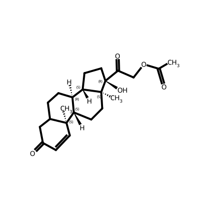 CC(=O)OCC(=O)[C@@]1(O)CC[C@H]2[C@@H]3CCC4CC(=O)C=C[C@]4(C)[C@H]3CC[C@@]21C